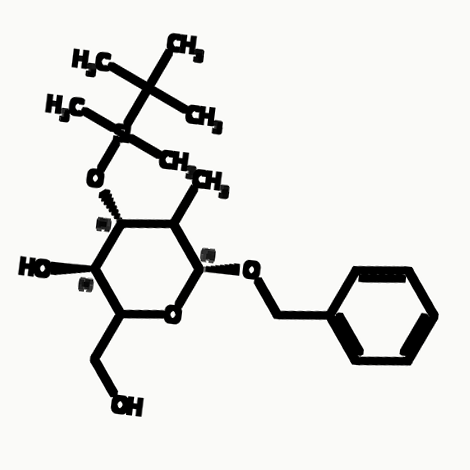 CC1[C@H](OCc2ccccc2)OC(CO)[C@@H](O)[C@@H]1O[Si](C)(C)C(C)(C)C